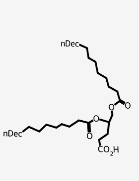 CCCCCCCCCCCCCCCCCC(=O)OCC(CCC(=O)O)OC(=O)CCCCCCCCCCCCCCCCC